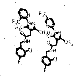 Cc1nn(-c2ccc(C(F)(F)F)cn2)c(C)c1CC(=O)NCc1ccc(F)cc1Cl.Cc1nn(-c2ncccc2C(F)(F)F)c(C)c1CC(=O)NCc1ccc(F)cc1Cl